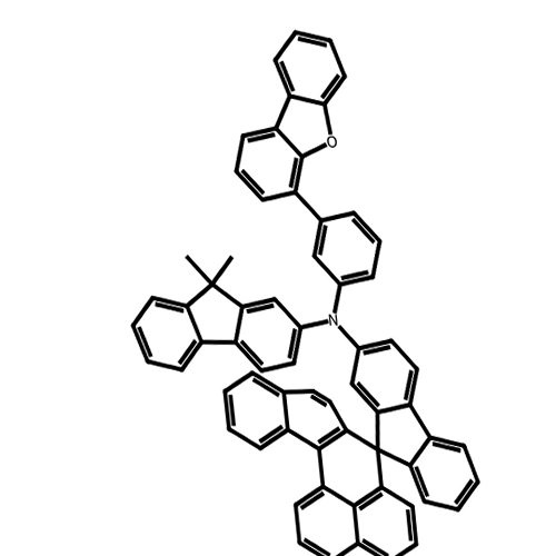 CC1(C)c2ccccc2-c2ccc(N(c3cccc(-c4cccc5c4oc4ccccc45)c3)c3ccc4c(c3)C3(c5ccccc5-4)c4ccc5ccccc5c4-c4cccc5cccc3c45)cc21